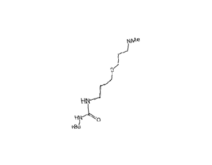 CCCCNC(=O)NCCCOCCCNC